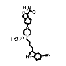 Cl.Cl.N#Cc1ccc2[nH]cc(CCCCN3CCN(c4ccc5c(C(N)=O)occ5c4)CC3)c2c1.O